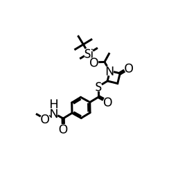 CONC(=O)c1ccc(C(=O)SC2CC(=O)N2C(C)O[Si](C)(C)C(C)(C)C)cc1